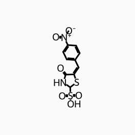 O=C1NC(S(=O)(=O)O)SC1=Cc1ccc([N+](=O)[O-])cc1